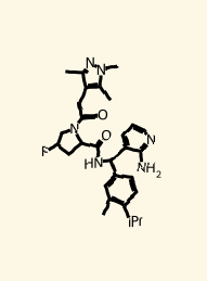 Cc1cc(C(NC(=O)C2CC(F)CN2C(=O)Cc2c(C)nn(C)c2C)c2cccnc2N)ccc1C(C)C